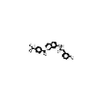 COc1cccc(CC(=O)Nc2ccc3c(c2)CN(C(=O)c2ccc(C(=O)O)cc2)C=C3)c1